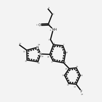 CCC(=O)NCc1ccc(-c2ccc(F)cc2)cc1-n1ccc(C)n1